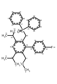 COCc1c(C(C)C)nc(C(C)C)c(CP(=O)(c2ccccc2)c2ccccc2)c1-c1ccc(F)cc1